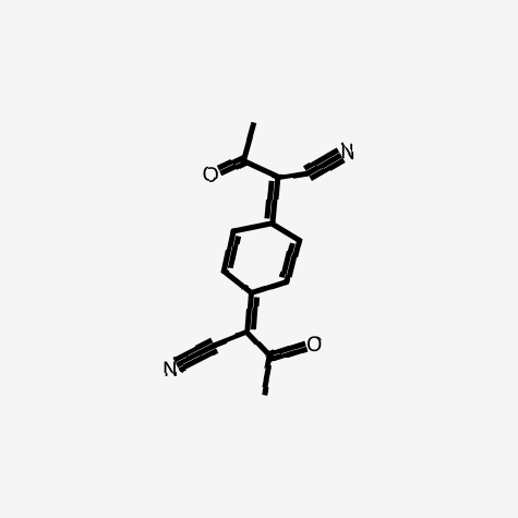 CC(=O)C(C#N)=c1ccc(=C(C#N)C(C)=O)cc1